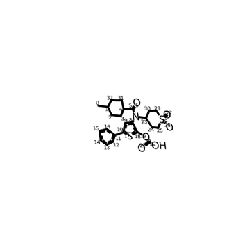 CC1CCC(C(=O)N(c2cc(-c3ccccc3)sc2OC(=O)O)C2CCS(=O)(=O)CC2)CC1